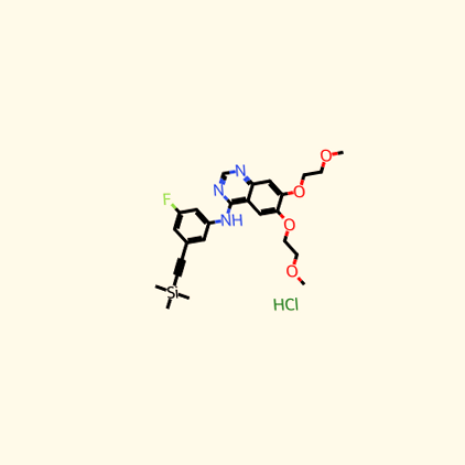 COCCOc1cc2ncnc(Nc3cc(F)cc(C#C[Si](C)(C)C)c3)c2cc1OCCOC.Cl